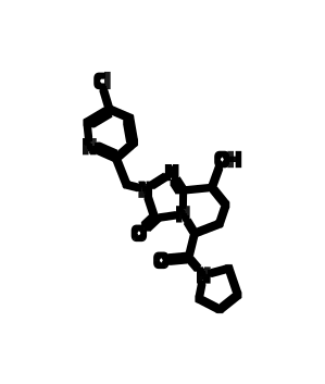 O=C(C1CCC(O)c2nn(Cc3ccc(Cl)cn3)c(=O)n21)N1CCCC1